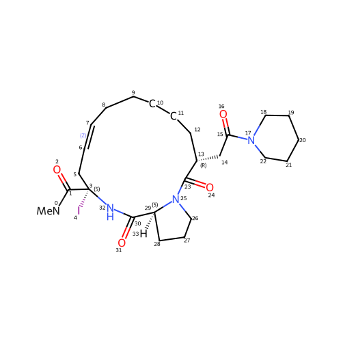 CNC(=O)[C@@]1(I)C/C=C\CCCCC[C@H](CC(=O)N2CCCCC2)C(=O)N2CCC[C@H]2C(=O)N1